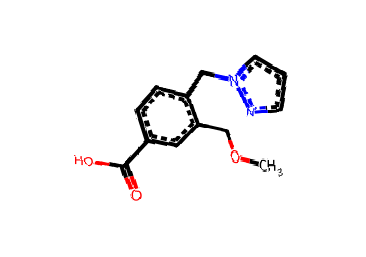 COCc1cc(C(=O)O)ccc1Cn1cccn1